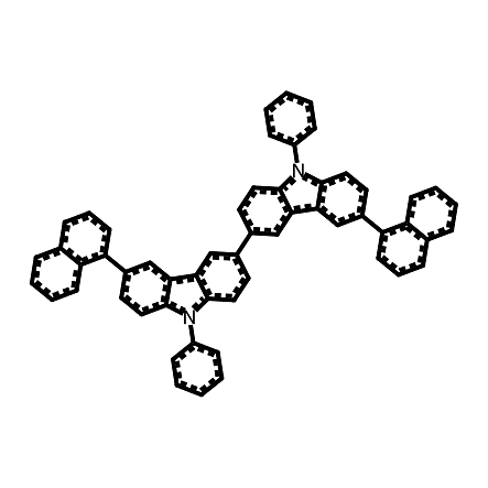 c1ccc(-n2c3ccc(-c4ccc5c(c4)c4cc(-c6cccc7ccccc67)ccc4n5-c4ccccc4)cc3c3cc(-c4cccc5ccccc45)ccc32)cc1